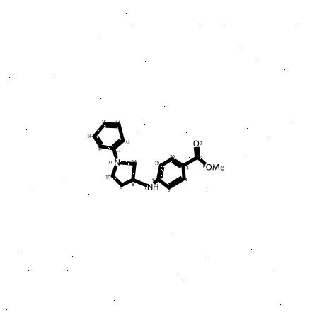 COC(=O)c1ccc(NC2CCN(c3ccccc3)C2)cc1